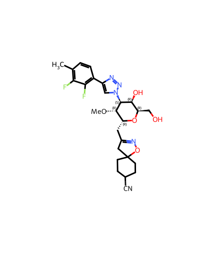 CO[C@@H]1[C@@H](n2cc(-c3ccc(C)c(F)c3F)nn2)[C@@H](O)[C@@H](CO)O[C@@H]1CC1=NOC2(CCC(C#N)CC2)C1